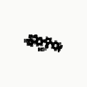 COc1nc(N2CCC(N3CCC(F)(F)CC3)C2=O)ccc1-c1cn[nH]c1.Cl